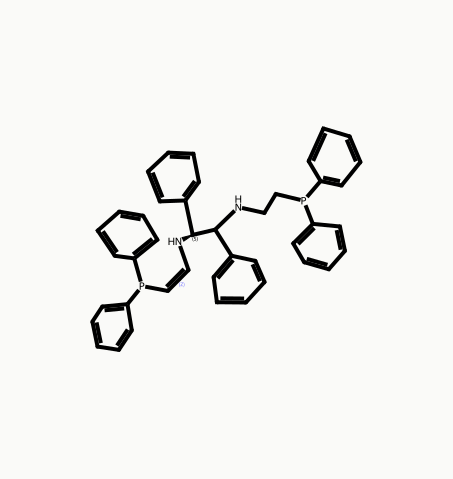 C(=C/P(c1ccccc1)c1ccccc1)/N[C@@H](c1ccccc1)C(NCCP(c1ccccc1)c1ccccc1)c1ccccc1